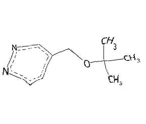 CC(C)(C)OCc1ccnnc1